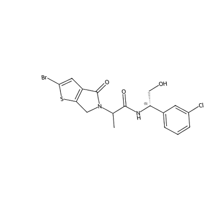 CC(C(=O)N[C@H](CO)c1cccc(Cl)c1)N1Cc2sc(Br)cc2C1=O